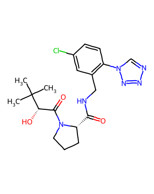 CC(C)(C)[C@@H](O)C(=O)N1CCC[C@H]1C(=O)NCc1cc(Cl)ccc1-n1cnnn1